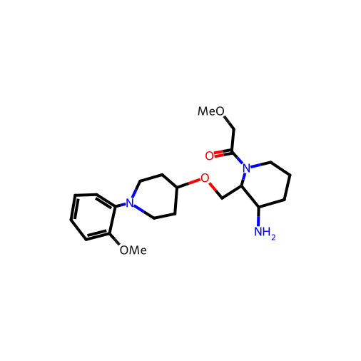 COCC(=O)N1CCCC(N)C1COC1CCN(c2ccccc2OC)CC1